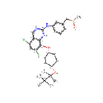 C[S+]([O-])Cc1cccc(Nc2ncc3c(F)cc(Cl)c(O[C@H]4CC[C@@H](O[Si](C)(C)C(C)(C)C)CC4)c3n2)c1